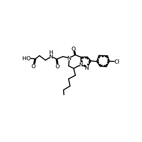 CCCCCC1CN(CC(=O)NCCC(=O)O)C(=O)c2cc(-c3ccc(Cl)cc3)nn21